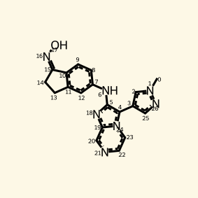 Cn1cc(-c2c(Nc3ccc4c(c3)CC/C4=N/O)nc3cnccn23)cn1